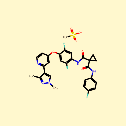 CS(=O)(=O)O.Cc1nn(C)cc1-c1cc(Oc2cc(F)c(NC(=O)C3(C(=O)Nc4ccc(F)cc4)CC3)cc2F)ccn1